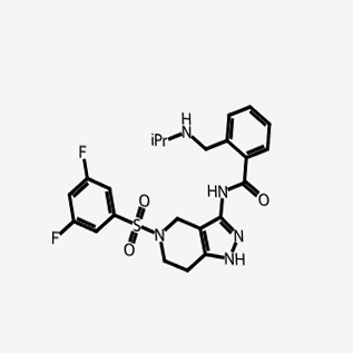 CC(C)NCc1ccccc1C(=O)Nc1n[nH]c2c1CN(S(=O)(=O)c1cc(F)cc(F)c1)CC2